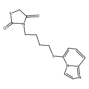 O=C1CSC(=O)N1CCCCSc1cccc2nccn12